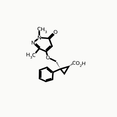 Cc1nn(C)c(=O)cc1OC[C@@]1(c2ccccc2)C[C@H]1C(=O)O